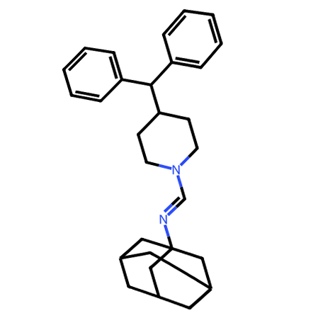 C(=NC12CC3CC(CC(C3)C1)C2)N1CCC(C(c2ccccc2)c2ccccc2)CC1